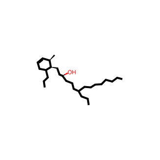 CCCCCCCCC(CCC)CCC[C@H](O)CC[C@H]1C(CCC)CC=C[C@H]1C